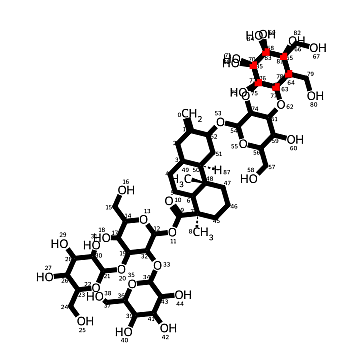 C=C1CC2CCC3[C@](C)(C(=O)OC4OC(CO)C(O)C(OC5OC(CO)C(O)C(O)C5O)C4OC4OC(CO)C(O)C(O)C4O)CCC[C@@]3(C)[C@@H]2CC1OC1OC(CO)C(O)C(OC2OC(CO)C(O)C(O)C2O)C1OC1OC(CO)C(O)C(O)C1O